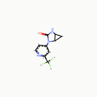 O=C1NC2CC2N1c1ccnc(C(F)(F)F)c1